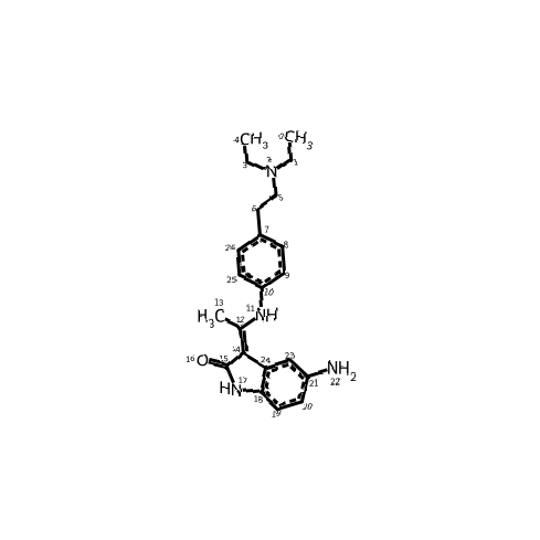 CCN(CC)CCc1ccc(NC(C)=C2C(=O)Nc3ccc(N)cc32)cc1